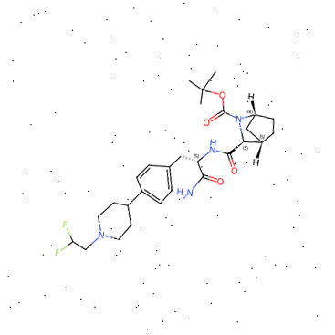 CC(C)(C)OC(=O)N1[C@@H]2CC[C@@H](C2)[C@H]1C(=O)N[C@@H](Cc1ccc(C2CCN(CC(F)F)CC2)cc1)C(N)=O